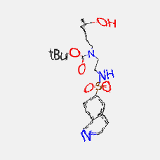 C[C@@H](O)CCN(CCNS(=O)(=O)c1ccc2cnccc2c1)C(=O)OC(C)(C)C